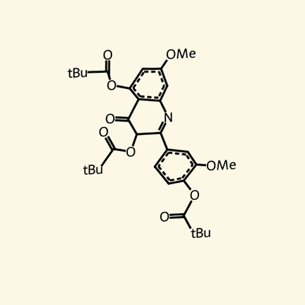 COc1cc2c(c(OC(=O)C(C)(C)C)c1)C(=O)C(OC(=O)C(C)(C)C)C(c1ccc(OC(=O)C(C)(C)C)c(OC)c1)=N2